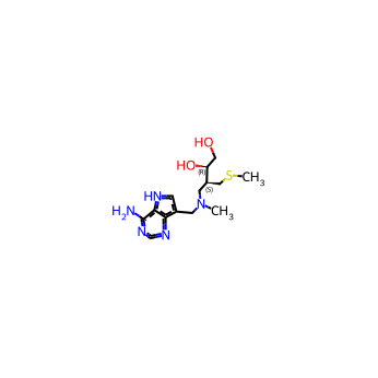 CSC[C@@H](CN(C)Cc1c[nH]c2c(N)ncnc12)[C@@H](O)CO